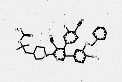 CC(C)(CC1CCN(c2ncc(-c3ccc(N)c(OCc4ccccc4)c3)c(-c3ccc(C#N)c(F)c3)c2C#N)CC1)OC(N)=O